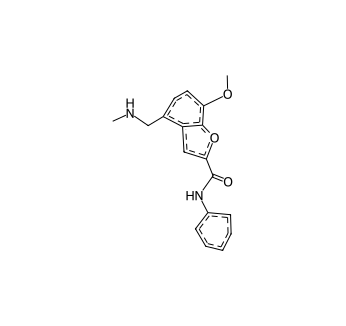 CNCc1ccc(OC)c2oc(C(=O)Nc3ccccc3)cc12